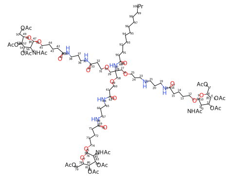 CC(=O)NC1C(OC(C)=O)[C@@H](OC(C)=O)C(COC(C)=O)O[C@H]1OCCCCC(=O)NCCCNCCCOCC(COCCC(=O)NCCCNC(=O)CCCCO[C@@H]1OC(COC(C)=O)[C@H](OC(C)=O)C(OC(C)=O)C1NC(C)=O)(COCCC(=O)NCCCNC(=O)CCCCO[C@@H]1OC(COC(C)=O)[C@H](OC(C)=O)C(OC(C)=O)C1NC(C)=O)NC(=O)CCCCCCCCCCC(C)C